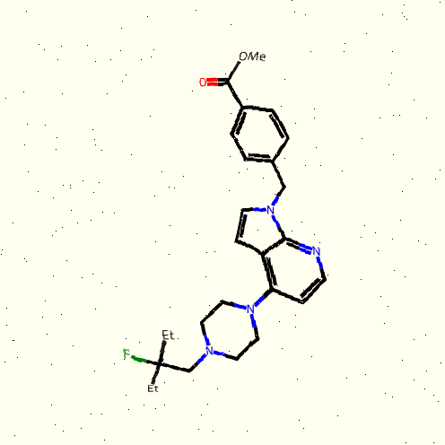 CCC(F)(CC)CN1CCN(c2ccnc3c2ccn3Cc2ccc(C(=O)OC)cc2)CC1